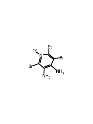 CCc1c(Br)c(N)c(N)c(Br)[n+]1[O-]